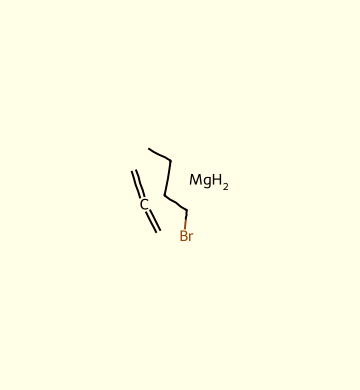 C=C=C.CCCCBr.[MgH2]